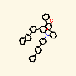 c1ccc(-c2ccc(-c3ccc(N(c4cccc(-c5cccc(-c6ccc7ccccc7c6)c5)c4)c4ccccc4-c4ccc5c(c4)oc4ccccc45)cc3)cc2)cc1